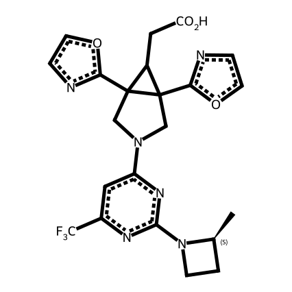 C[C@H]1CCN1c1nc(N2CC3(c4ncco4)C(CC(=O)O)C3(c3ncco3)C2)cc(C(F)(F)F)n1